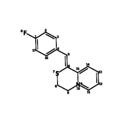 Fc1ccc(/C=C2\SCC[n+]3ccccc32)cc1